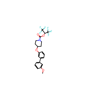 COc1cccc(-c2cccc(OC3CCN(C(=O)OC(C(F)(F)F)C(F)(F)F)CC3)c2)c1